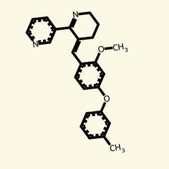 COc1cc(Oc2cccc(C)c2)ccc1C=C1CCCN=C1c1cccnc1